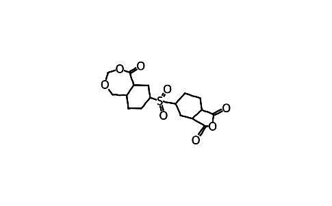 O=C1OCOCC2CCC(S(=O)(=O)C3CCC4C(=O)OC(=O)C4C3)CC12